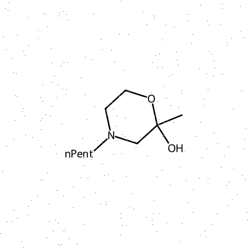 CCCCCN1CCOC(C)(O)C1